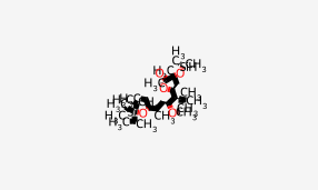 CCC(O[Si](C(C)C)(C(C)C)C(C)C)[C@H](C)C[C@H](OC)[C@H]([C@H](C[C@](C)(C=O)O[SiH](C)C)OC)C(C)(C)C